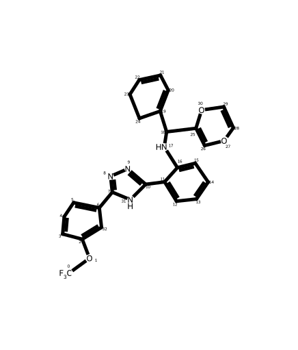 FC(F)(F)Oc1cccc(-c2nnc(-c3ccccc3NC(C3=CC=CCC3)C3=COC=CO3)[nH]2)c1